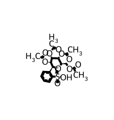 CC(=O)OC[C@H]1O[C@@H](c2ccccc2S(=O)(O)=S)[C@H](OC(C)=O)[C@@H](OC(C)=O)[C@H]1OC(C)=O